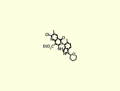 CCOC(=O)c1c(N)n(-c2c(C)ccc3c2cnn3C2CCCCO2)c(=O)c2cc(C)c(Cl)nc12